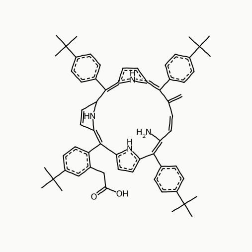 C=C1/C=C\C(N)=C(/c2ccc(C(C)(C)C)cc2)c2ccc([nH]2)/C(c2ccc(C(C)(C)C)cc2CC(=O)O)=C2/C=CC(N2)/C(c2ccc(C(C)(C)C)cc2)=c2/cc/c([nH]2)=C/1c1ccc(C(C)(C)C)cc1